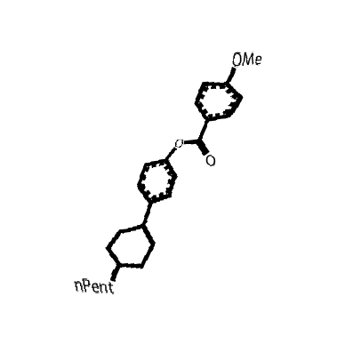 CCCCCC1CCC(c2ccc(OC(=O)c3ccc(OC)cc3)cc2)CC1